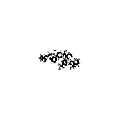 C=C(O)C1(CC[C@@H](C)Sc2ccccc2C2(O)CCN(C(=O)[C@]3(Oc4csc(C(F)(F)F)c4)CCCN(C(=O)c4ncccc4C(F)(F)F)[C@@H]3CCC)CC2)CCC1